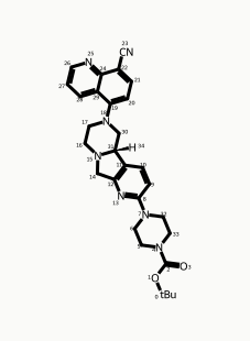 CC(C)(C)OC(=O)N1CCN(c2ccc3c(n2)CN2CCN(c4ccc(C#N)c5ncccc45)C[C@H]32)CC1